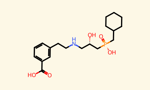 O=C(O)c1cccc(CCNC[C@H](O)C[P@](=O)(O)CC2CCCCC2)c1